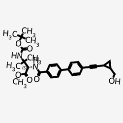 COC(=O)[C@@H](NC(=O)c1ccc(-c2ccc(C#CC3CC3CO)cc2)cc1)C(C)(C)NC(=O)OC(C)(C)C